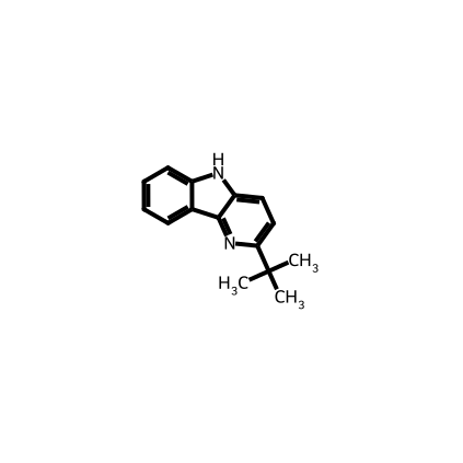 CC(C)(C)c1ccc2[nH]c3ccccc3c2n1